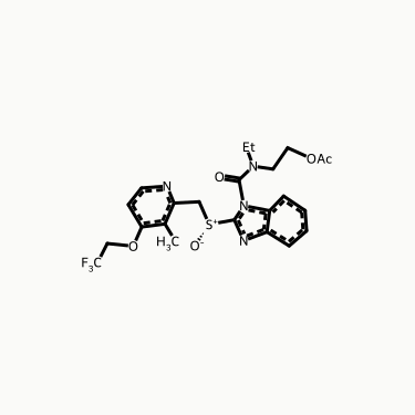 CCN(CCOC(C)=O)C(=O)n1c([S@+]([O-])Cc2nccc(OCC(F)(F)F)c2C)nc2ccccc21